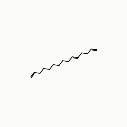 [CH]=CCCCCCCCC=CCCC=C